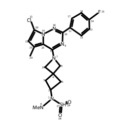 CNN(C1CC2(C1)CN(c1nc(-c3ccc(F)cc3)nn3c(Cl)cc(C)c13)C2)[SH](=O)=O